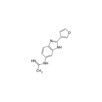 CC(=N)Nc1ccc2nc(-c3ccoc3)[nH]c2c1